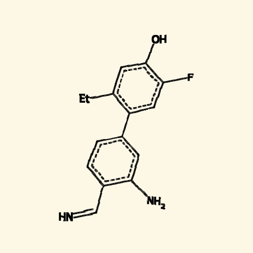 CCc1cc(O)c(F)cc1-c1ccc(C=N)c(N)c1